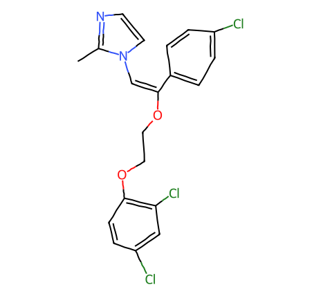 Cc1nccn1C=C(OCCOc1ccc(Cl)cc1Cl)c1ccc(Cl)cc1